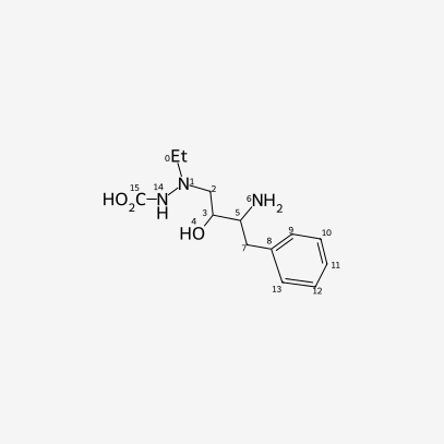 CCN(CC(O)C(N)Cc1ccccc1)NC(=O)O